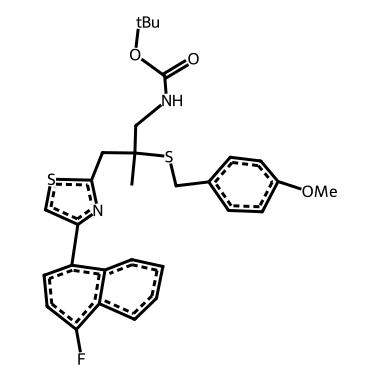 COc1ccc(CSC(C)(CNC(=O)OC(C)(C)C)Cc2nc(-c3ccc(F)c4ccccc34)cs2)cc1